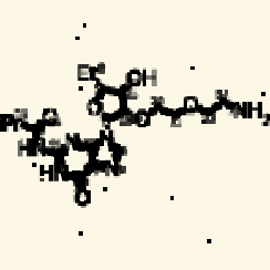 CC[C@H]1O[C@@H](n2cnc3c(=O)[nH]c(NC(=O)C(C)C)nc32)[C@@H](OCCOCCN)C1O